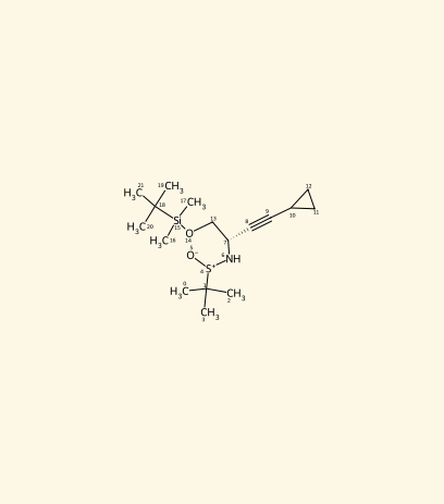 CC(C)(C)[S+]([O-])N[C@@H](C#CC1CC1)CO[Si](C)(C)C(C)(C)C